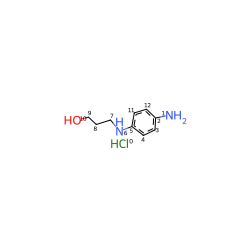 Cl.Nc1ccc(NCCCO)cc1